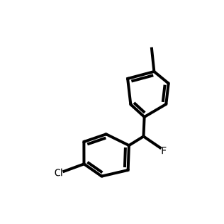 Cc1ccc(C(F)c2ccc(Cl)cc2)cc1